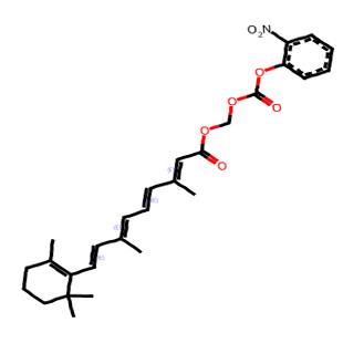 CC1=C(/C=C/C(C)=C/C=C/C(C)=C/C(=O)OCOC(=O)Oc2ccccc2[N+](=O)[O-])C(C)(C)CCC1